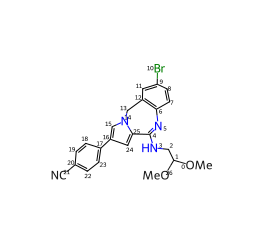 COC(CNC1=Nc2ccc(Br)cc2Cn2cc(-c3ccc(C#N)cc3)cc21)OC